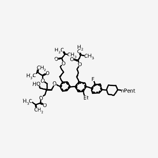 C=C(C)C(=O)OCCCc1cc(-c2cc(CC)c(-c3ccc(C4CCC(CCCCC)CC4)cc3F)cc2CCCOC(=O)C(=C)C)ccc1OCC(CO)(COC(=O)C(=C)C)COC(=O)C(=C)C